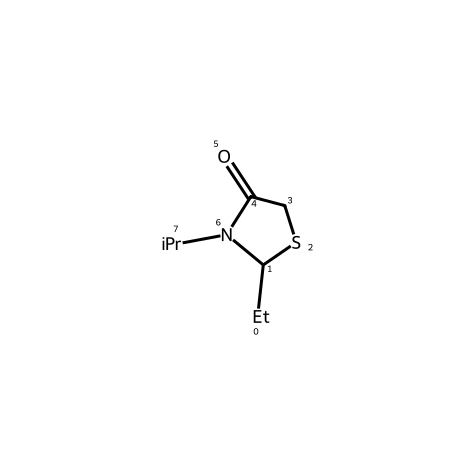 CCC1SCC(=O)N1C(C)C